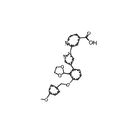 COc1ccc(COc2cccc(-c3cnn(-c4cc(C(=O)O)ccn4)c3)c2C2OCCO2)cc1